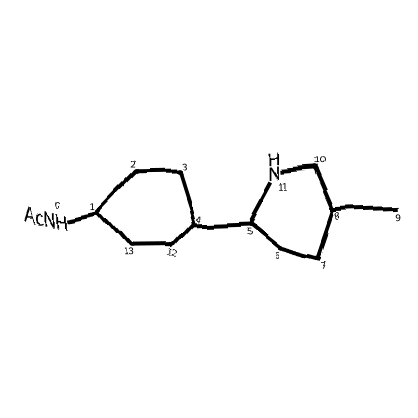 CC(=O)NC1CCC(C2CCC(C)CN2)CC1